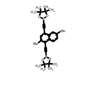 CC(C)(C)c1ccc2c(C#CB3OC(C)(C)C(C)(C)O3)c(C(C)(C)C)cc(C#CB3OC(C)(C)C(C)(C)O3)c2c1